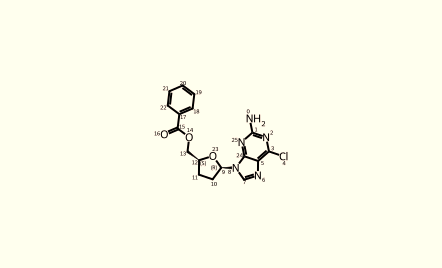 Nc1nc(Cl)c2ncn([C@H]3CC[C@@H](COC(=O)c4ccccc4)O3)c2n1